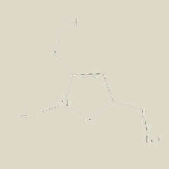 CN1CC([CH2][Na])CC1CO